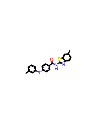 Cc1cccc([I+]c2ccc(C(=O)Nc3nc4ccc(C)cc4s3)cc2)c1